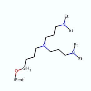 CCCC(C)O[SiH2]CCCN(CCCN(CC)CC)CCCN(CC)CC